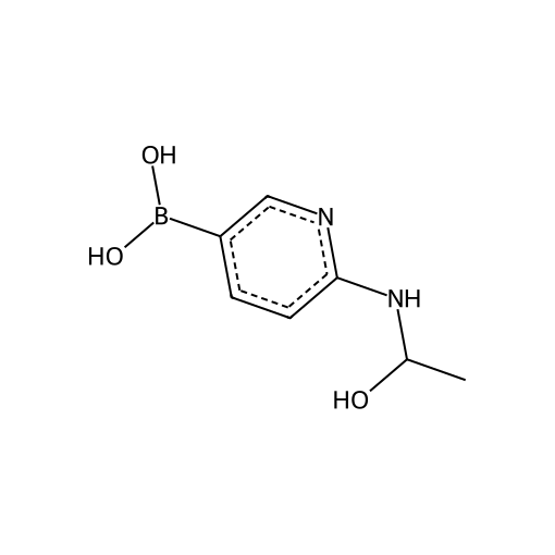 CC(O)Nc1ccc(B(O)O)cn1